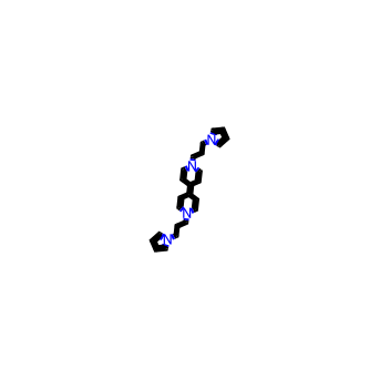 C1=CN(CCCn2cccc2)C=CC1=C1C=CN(CCCn2cccc2)C=C1